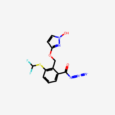 [N-]=[N+]=NC(=O)c1cccc(SC(F)F)c1COc1ccn(O)n1